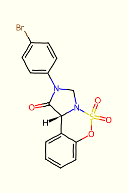 O=C1[C@H]2c3ccccc3OS(=O)(=O)N2CN1c1ccc(Br)cc1